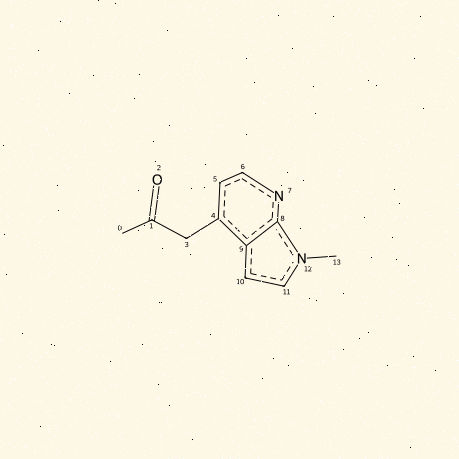 CC(=O)Cc1ccnc2c1ccn2C